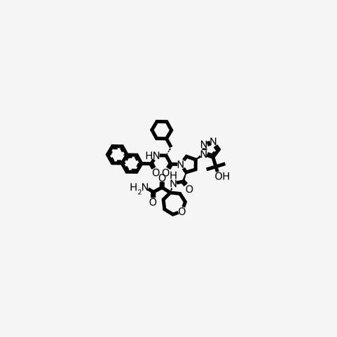 CC(C)(O)c1cnnn1[C@H]1C[C@@H](C(=O)N[C@@]2(C(=O)C(N)=O)CCCOCC2)N(C(=O)[C@@H](CC2CCCCC2)NC(=O)c2ccc3ccccc3c2)C1